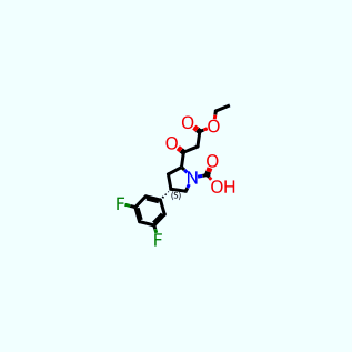 CCOC(=O)CC(=O)C1C[C@@H](c2cc(F)cc(F)c2)CN1C(=O)O